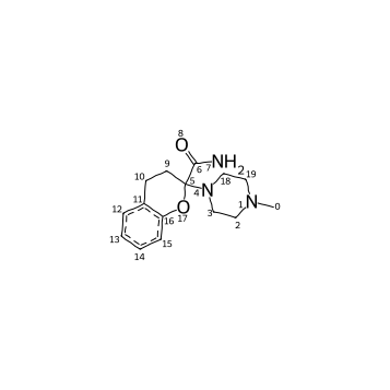 CN1CCN(C2(C(N)=O)CCc3ccccc3O2)CC1